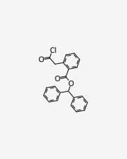 O=C(Cl)Cc1ccccc1C(=O)OC(c1ccccc1)c1ccccc1